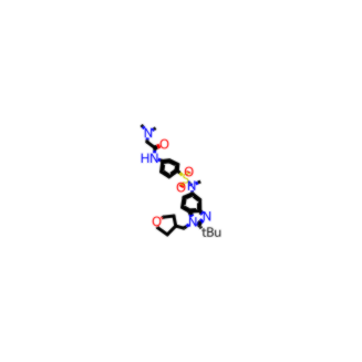 CN(C)CC(=O)Nc1ccc(S(=O)(=O)N(C)c2ccc3c(c2)nc(C(C)(C)C)n3CC2CCOCC2)cc1